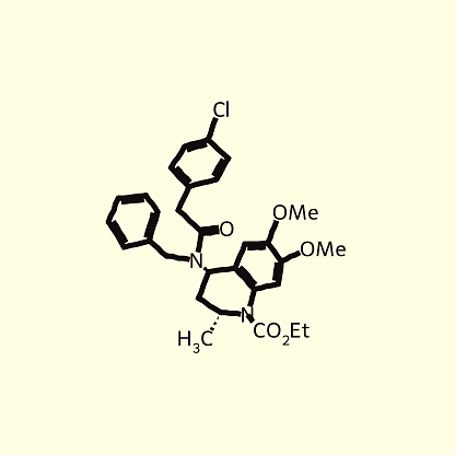 CCOC(=O)N1c2cc(OC)c(OC)cc2[C@@H](N(Cc2ccccc2)C(=O)Cc2ccc(Cl)cc2)C[C@H]1C